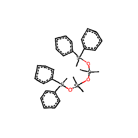 C[Si](C)(O[Si](C)(C)O[Si](C)(c1ccccc1)c1ccccc1)O[Si](C)(c1ccccc1)c1ccccc1